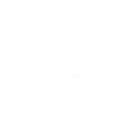 Nc1nonc1C(=O)CBr